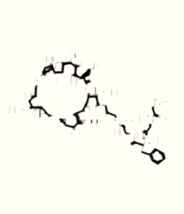 C=C1[C@H](C)C[C@@H]2CC[C@@H]3O[C@@H](CC[C@@]45C[C@H]6OC7C(O[C@H]8CC[C@H](CC(=O)C[C@@H]9[C@@H](OC)[C@@H](C[C@H](O)CNC(=O)CNC(=O)[C@H](Cc%10ccccc%10)NC(=O)CNC(=O)CN)O[C@H]9C[C@H]1O2)O[C@@H]8[C@@H]7O4)[C@H]6O5)CC3(C)C